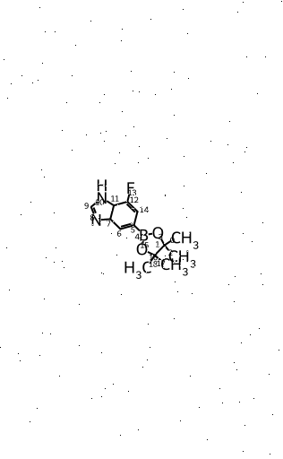 CC1(C)OB(C2=CC3N=CNC3C(F)=C2)OC1(C)C